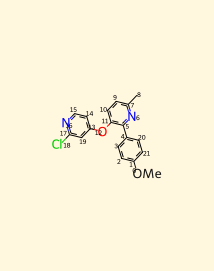 COc1ccc(-c2nc(C)ccc2Oc2ccnc(Cl)c2)cc1